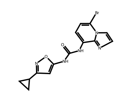 O=C(Nc1cc(C2CC2)no1)Nc1ccc(Br)n2ccnc12